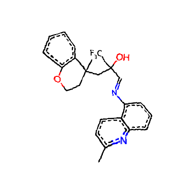 Cc1ccc2c(/N=C/C(O)(CC3(C)CCOc4ccccc43)C(F)(F)F)cccc2n1